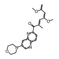 C=C(/C=C(\C=C(/C)C(=O)c1ccc2ncc(N3CCOCC3)cc2n1)OC)OC